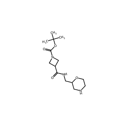 CC(C)(C)OC(=O)N1CC(C(=O)NCC2CNCCO2)C1